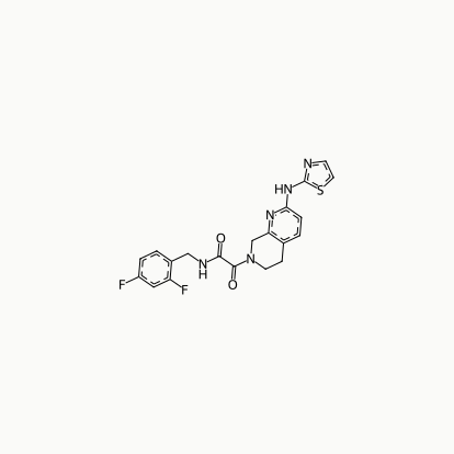 O=C(NCc1ccc(F)cc1F)C(=O)N1CCc2ccc(Nc3nccs3)nc2C1